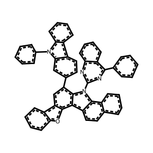 c1ccc(-c2nc(-n3c4c(-c5ccc6c7ccccc7n(-c7ccccc7)c6c5)cc5c6ccccc6oc5c4c4ccc5ccccc5c43)nc3ccccc23)cc1